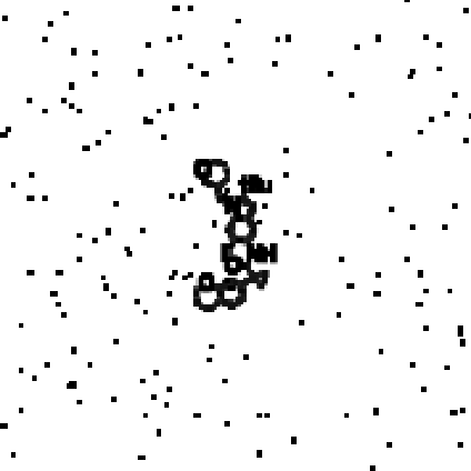 CC(C)(C)c1cc2cc(NC(=O)C3(c4ccc5c(c4)OCCC5)CC3)c(F)cc2n1CC1CCCOC1